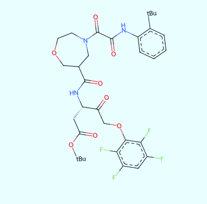 CC(C)(C)OC(=O)C[C@H](NC(=O)C1COCCN(C(=O)C(=O)Nc2ccccc2C(C)(C)C)C1)C(=O)COc1c(F)c(F)cc(F)c1F